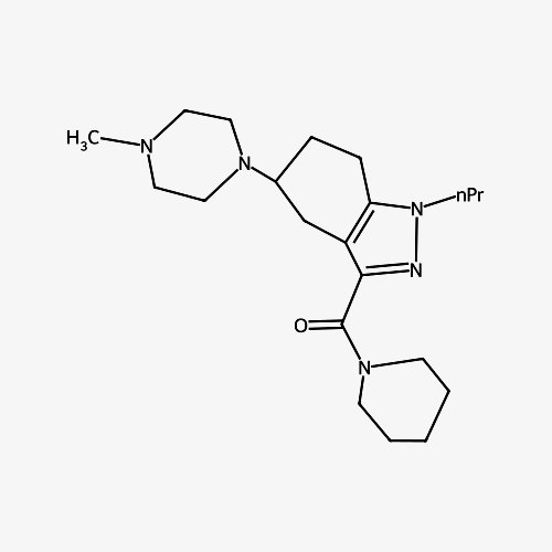 CCCn1nc(C(=O)N2CCCCC2)c2c1CCC(N1CCN(C)CC1)C2